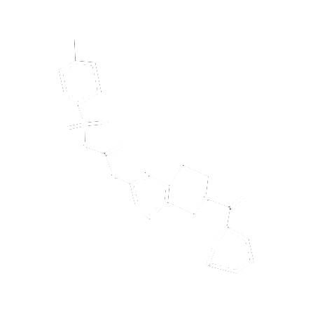 Cc1ccc(S(=O)(=O)NC(=O)Nc2ccc3c(n2)CCN(C(=O)c2ccccc2)C3)cc1